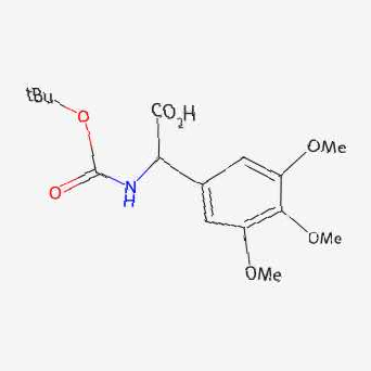 COc1cc(C(NC(=O)OC(C)(C)C)C(=O)O)cc(OC)c1OC